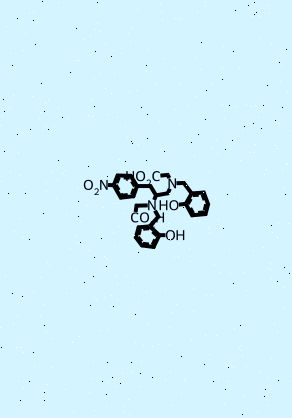 O=C(O)CN(Cc1ccccc1O)CC(Cc1ccc([N+](=O)[O-])cc1)N(CC(=O)O)Cc1ccccc1O